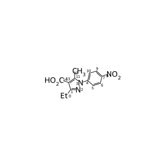 CCc1nn(-c2ccc([N+](=O)[O-])cc2)c(C)c1C(=O)O